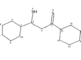 S=C(CC(S)C1CCCCC1)C1CCCCC1